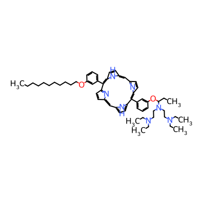 CCCCCCCCCCCOc1cccc(-c2c3nc(cc4ccc([nH]4)c(-c4cccc(OC(CC)N(CCN(CC)CC)CCN(CC)CC)c4)c4nc(cc5ccc2[nH]5)C=C4)C=C3)c1